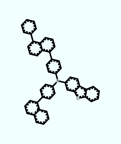 c1ccc(-c2cccc3c(-c4ccc(N(c5ccc(-c6cccc7ccccc67)cc5)c5ccc6c(c5)oc5ccccc56)cc4)cccc23)cc1